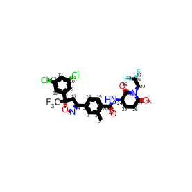 Cc1cc(C2=NOC(c3cc(Cl)cc(Cl)c3)(C(F)(F)F)C2)ccc1C(=O)N[C@@H]1CCC(=O)N(CC(F)F)C1=O